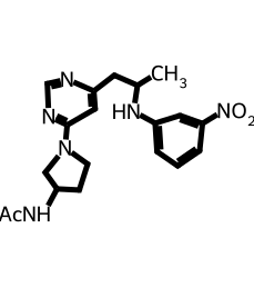 CC(=O)NC1CCN(c2cc(CC(C)Nc3cccc([N+](=O)[O-])c3)ncn2)C1